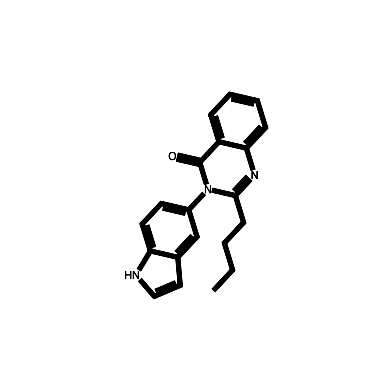 CCCCc1nc2ccccc2c(=O)n1-c1ccc2[nH]ccc2c1